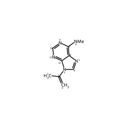 C=C(C)n1cnc2c(NC)ncnc21